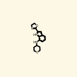 c1cc(NC2CCOCC2)c2[nH]c(C3=NCCO3)cc2c1